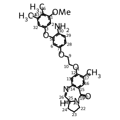 COc1cc(Oc2cc(OCCOc3cc4c(cc3C)C(=O)N3CCC[C@H]3C=N4)ccc2N)cc(C)c1C